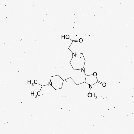 CC(C)N1CCC(CCC2C(N3CCN(CC(=O)O)CC3)OC(=O)N2C)CC1